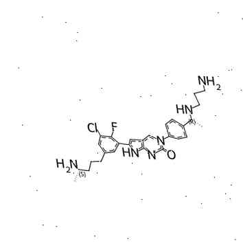 C[C@H](N)CCCc1cc(Cl)c(F)c(-c2cc3cn(-c4ccc([C@@H](C)NCCCN)cc4)c(=O)nc3[nH]2)c1